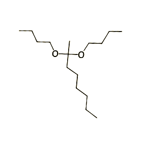 CCCCCCC(C)(OCCCC)OCCCC